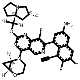 [2H]C([2H])(Oc1nc(N2CCO[C@H]3C[C@H]32)c2cnc(-c3cc(N)cc4cc(F)c(F)c(C#C)c34)c(F)c2n1)[C@@]12CCCN1C[C@H](F)C2